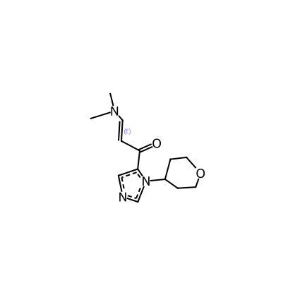 CN(C)/C=C/C(=O)c1cncn1C1CCOCC1